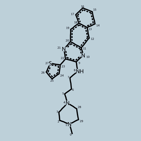 CN1CCN(CCCNc2nc3cc4ccccc4cc3nc2-c2cccs2)CC1